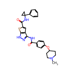 CN1CCC(Oc2ccc(C(=O)Nc3n[nH]c4sc(C(=O)NC5(c6ccccc6)CC5)cc34)cc2)CC1